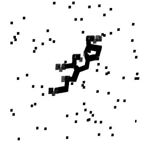 C=CN/C=C(/Cc1ncc(C(=O)OCC)s1)N(C)C